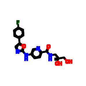 O=C(NC[C@@H](O)CO)c1ccc(Nc2ncc(-c3ccc(F)cc3)o2)cn1